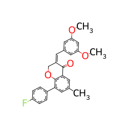 COc1cc(C=C2COc3c(cc(C)cc3-c3ccc(F)cc3)C2=O)cc(OC)c1